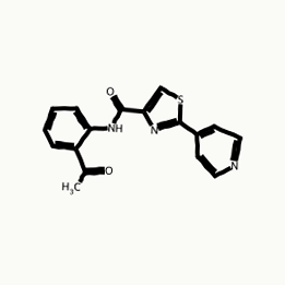 CC(=O)c1ccccc1NC(=O)c1csc(-c2ccncc2)n1